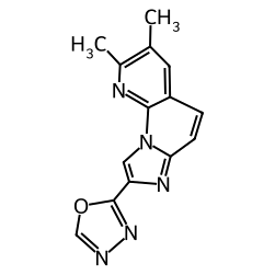 Cc1cc2ccc3nc(-c4nnco4)cn3c2nc1C